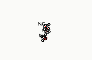 C=NC1=C(/C=C\C)C2(c3cc(-c4ccc5c(c4)c4ccccc4n5-c4cnccc4-n4c5ccccc5c5ccccc54)ccc3Sc3ccc(-n4c5ccccc5c5cc(C#N)ccc54)cc32)c2cccnc21